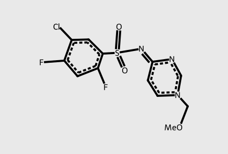 COCn1cc/c(=N\S(=O)(=O)c2cc(Cl)c(F)cc2F)nc1